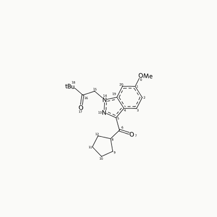 COc1ccc2c(C(=O)C3CCCC3)nn(CC(=O)C(C)(C)C)c2c1